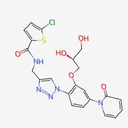 O=C(NCc1cn(-c2ccc(-n3ccccc3=O)cc2OC[C@@H](O)CO)nn1)c1ccc(Cl)s1